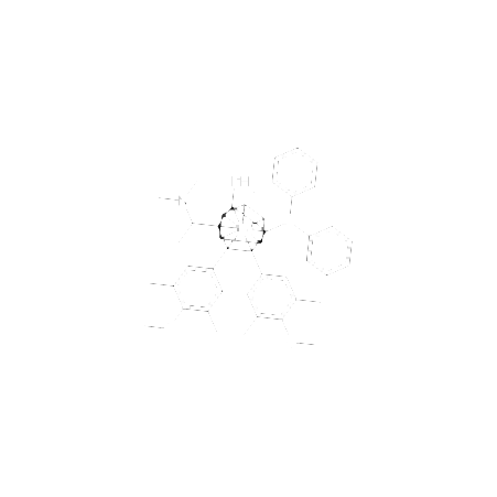 COc1c(C)cc([C]23[C]4(c5cc(C)c(OC)c(C)c5)[C]5(P(c6ccccc6)c6ccccc6)[C]6(P)[C]2(C(C)N(C)C)[Fe]63452789[CH]3[CH]2[CH]7[CH]8[CH]39)cc1C